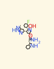 Cc1n[nH]c2ncc(-c3cc(OC[C@H](N)Cc4c[nH]c5ccccc45)cnc3-c3cccc(F)c3O)cc12